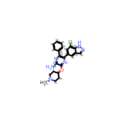 CN1CCC(Oc2nc(-c3cc(Cl)c4[nH]ncc4c3)c(-c3ccccc3)nc2N)CC1